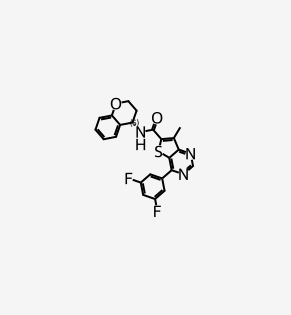 Cc1c(C(=O)N[C@H]2CCOc3ccccc32)sc2c(-c3cc(F)cc(F)c3)ncnc12